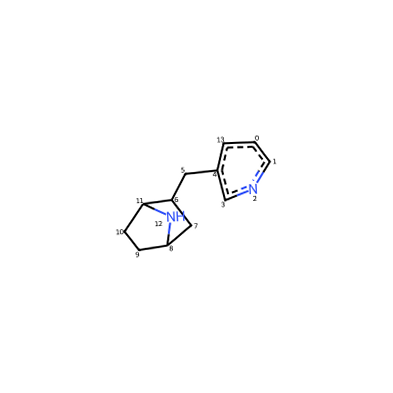 c1cncc(CC2CC3CCC2N3)c1